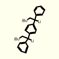 [Li][C](CC(C)CC)(c1ccccc1)c1ccc([C]([Li])(CC(C)CC)c2ccccc2)cc1